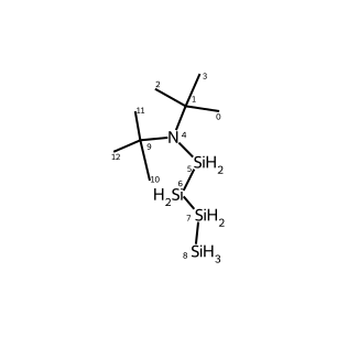 CC(C)(C)N([SiH2][SiH2][SiH2][SiH3])C(C)(C)C